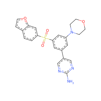 Nc1ncc(-c2cc(N3CCOCC3)cc(S(=O)(=O)c3ccc4ccoc4c3)c2)cn1